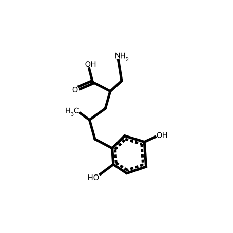 CC(Cc1cc(O)ccc1O)CC(CN)C(=O)O